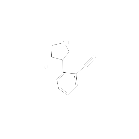 Cl.N#Cc1ccccc1C1CCNC1